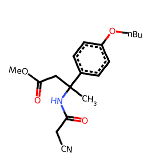 CCCCOc1ccc(C(C)(CC(=O)OC)NC(=O)CC#N)cc1